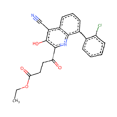 CCOC(=O)CCC(=O)c1nc2c(-c3ccccc3Cl)cccc2c(C#N)c1O